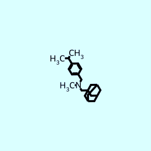 CC(C)c1ccc(CN(C)CC23CC4CC(CC(C4)C2)C3)cc1